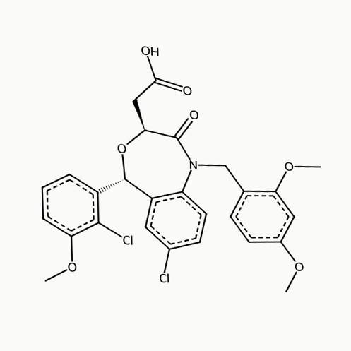 COc1ccc(CN2C(=O)[C@H](CC(=O)O)O[C@@H](c3cccc(OC)c3Cl)c3cc(Cl)ccc32)c(OC)c1